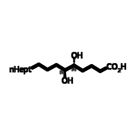 CCCCCCCCCC[C@H](O)[C@H](O)CCCC(=O)O